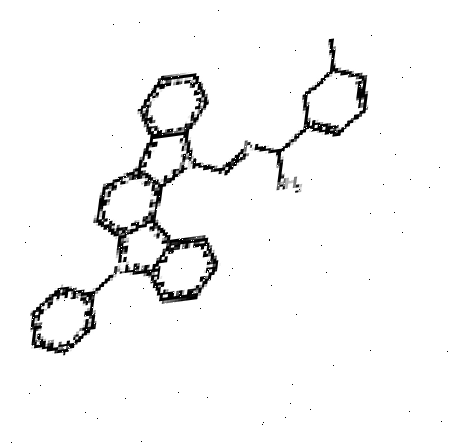 CC1C=CC=C(C(N)/N=C/n2c3ccccc3c3ccc4c(c5ccccc5n4-c4ccccc4)c32)C1